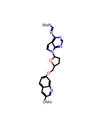 CN/C=N/c1ncnc2c1ccn2C1CCC(COc2ccc3cc(OC)cnc3c2)O1